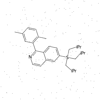 Cc1ccc(C)c(-c2nccc3cc(S(CC(C)C)(CC(C)C)CC(C)C)ccc23)c1